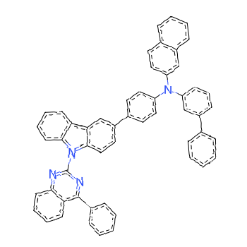 c1ccc(-c2cccc(N(c3ccc(-c4ccc5c(c4)c4ccccc4n5-c4nc(-c5ccccc5)c5ccccc5n4)cc3)c3ccc4ccccc4c3)c2)cc1